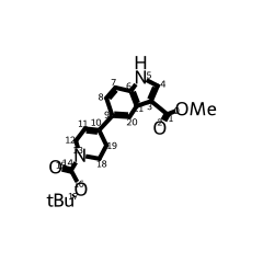 COC(=O)c1c[nH]c2ccc(C3=CCN(C(=O)OC(C)(C)C)CC3)cc12